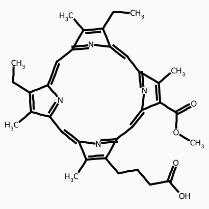 CCC1=C(C)C2=NC1=CC1=NC(=CC3=NC(=CC4=NC(=C2)C(C)=C4CCCC(=O)O)C(C(=O)OC)=C3C)C(CC)=C1C